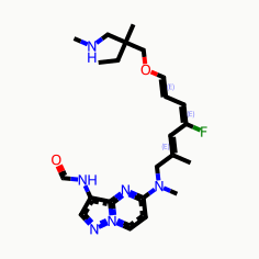 CCC(C)(CNC)CO/C=C/C=C(F)\C=C(/C)CN(C)c1ccn2ncc(NC=O)c2n1